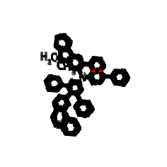 CC1(C)c2ccccc2-c2cc(-c3ccccc3)c(N(c3ccc(-c4ccccc4)cc3)c3cc(-c4ccccc4)c(-c4ccc5ccc6ccccc6c5c4)c(-c4ccccc4)c3)cc21